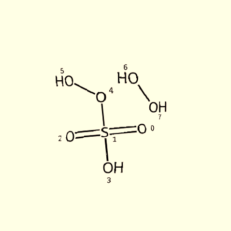 O=S(=O)(O)OO.OO